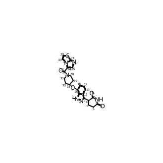 Cn1nc(C2CCC(=O)NC2=O)c2cccc(OC3CCN(C(=O)c4cnc5sccn45)CC3)c21